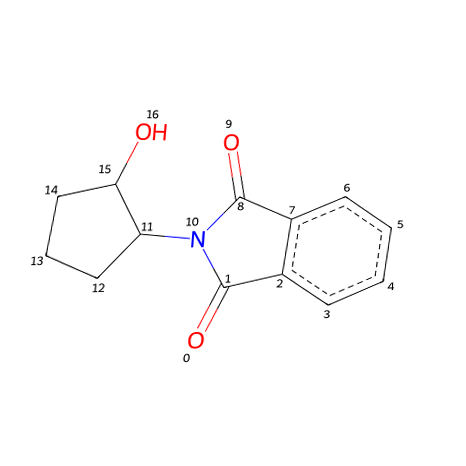 O=C1c2ccccc2C(=O)N1C1CCCC1O